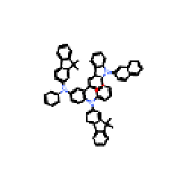 CC1(C)c2ccccc2-c2ccc(N(c3ccccc3)c3ccc(N(c4ccccc4)c4ccc5c(c4)C(C)(C)c4ccccc4-5)c(-c4ccc5c(c4)c4ccccc4n5-c4ccc5ccccc5c4)c3)cc21